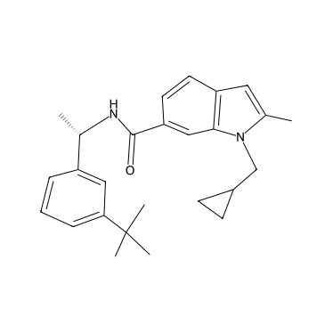 Cc1cc2ccc(C(=O)N[C@@H](C)c3cccc(C(C)(C)C)c3)cc2n1CC1CC1